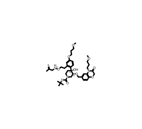 COCCCOc1ccc([C@@]2(O)CCN(C(=O)OC(C)(C)C)C[C@@H]2OCc2ccc3c(c2)N(CCCOC)C(=O)CO3)c(CCO[SiH2]CC(C)=S)c1